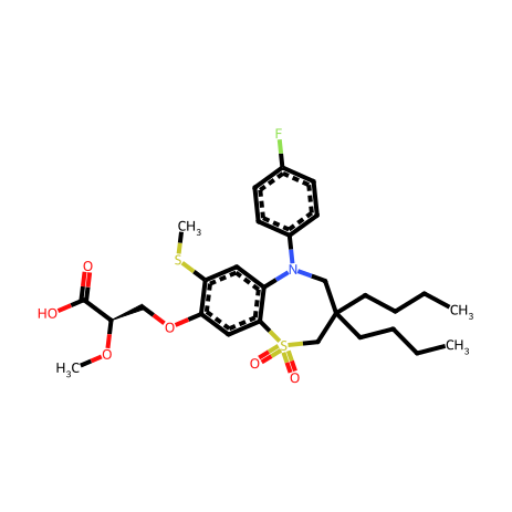 CCCCC1(CCCC)CN(c2ccc(F)cc2)c2cc(SC)c(OC[C@@H](OC)C(=O)O)cc2S(=O)(=O)C1